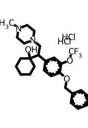 CN1CCN(CC(c2ccc(OCc3ccccc3)c(OC(F)(F)F)c2)C2(O)CCCCC2)CC1.Cl.Cl